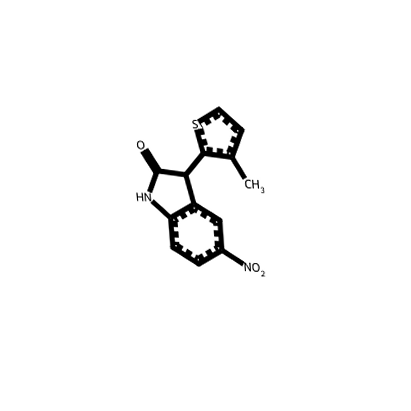 Cc1ccsc1C1C(=O)Nc2ccc([N+](=O)[O-])cc21